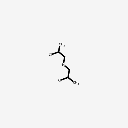 CC(Cl)C[N]CC(C)Cl